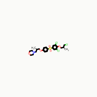 C[C@H](CCl)COc1c(Cl)cc(S(=O)(=O)c2ccc(OC[C@H](C)CN3CCOCC3)cc2)cc1Cl